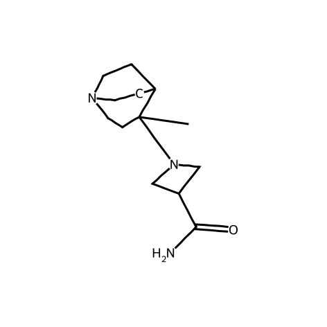 CC1(N2CC(C(N)=O)C2)CCN2CCC1CC2